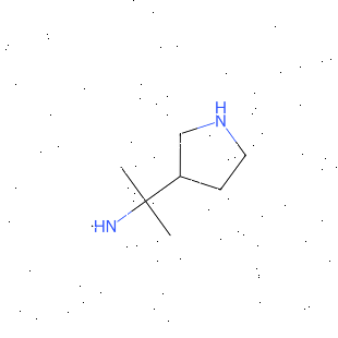 CC(C)([NH])C1CCNC1